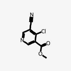 COC(=O)c1cncc(C#N)c1Cl